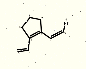 C=CC1=C(/C=C\CC)CCC1